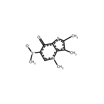 Cc1sc2c(=O)c([S+](C)[O-])cn(C)c2c1C